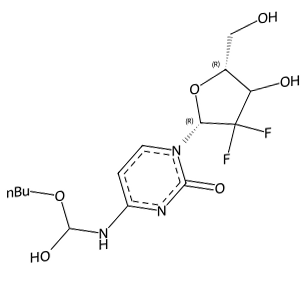 CCCCOC(O)Nc1ccn([C@@H]2O[C@H](CO)C(O)C2(F)F)c(=O)n1